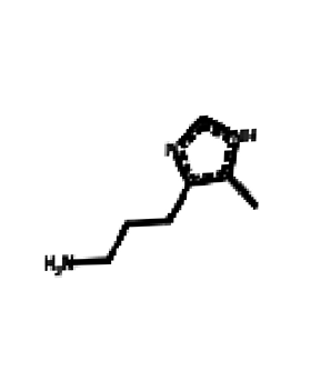 Cc1[nH]cnc1CCCN